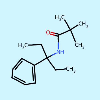 CCC(CC)(NC(=O)C(C)(C)C)c1ccccc1